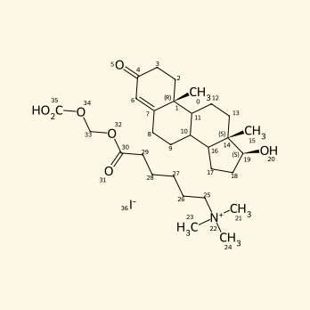 C[C@]12CCC(=O)C=C1CCC1C2CC[C@@]2(C)C1CC[C@@H]2O.C[N+](C)(C)CCCCCC(=O)OCOC(=O)O.[I-]